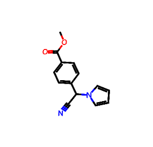 COC(=O)c1ccc(C(C#N)n2cccc2)cc1